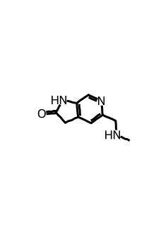 CNCc1cc2c(cn1)NC(=O)C2